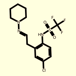 O=S(=O)(Nc1ccc(Cl)cc1CC=NN1CCCCC1)C(F)(F)F